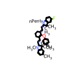 CCCCCN1/C(=C/C=C2\CCCC(/C=C/C3=[N+](C)c4ccc(C)cc4C3(C)C)=C2Oc2ccc(C)cc2)C(C)(C)c2cc(F)ccc21